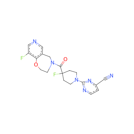 N#Cc1ccnc(N2CCC(F)(C(=O)N3CCOc4c(F)cncc4C3)CC2)n1